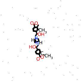 Cc1c(C(O)CN2C[C@H]3C[C@@H]2CN3CC(O)c2ccc3c(c2)C[C@H](C)OC3=O)ccc2c1COC2=O